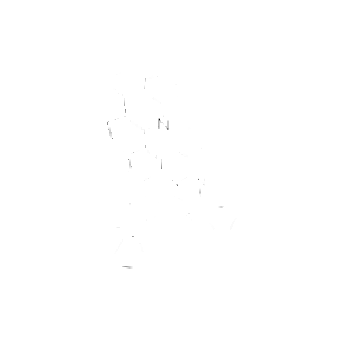 c1cc(-c2nc(-c3ccc4sc5ccccc5c4c3)c3sc4ccccc4c3n2)cc(N2c3c(ccc4ccccc34)-c3cccc4cccc2c34)c1